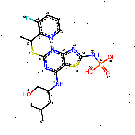 CC(C)CC(CO)Nc1nc(SC(C)c2ncccc2F)nc2nc(NP(=O)(O)O)sc12